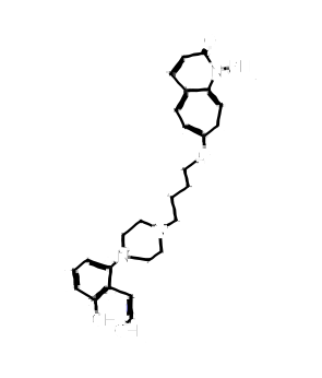 Bn1c(=O)ccc2c1=CCC(OCCCCN1CCN(c3cccc(C)c3/C=C\C)CC1)=CC=2